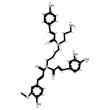 COc1cc(/C=C/C(=O)N(CCCCN(CCCN)C(=O)/C=C/c2ccc(O)cc2)C(=O)/C=C/c2ccc(O)c(O)c2)ccc1O